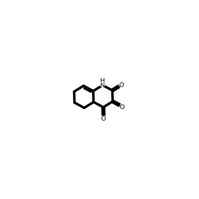 O=C1NC2=CCCCC2C(=O)C1=O